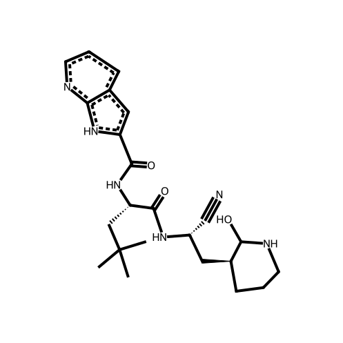 CC(C)(C)C[C@H](NC(=O)c1cc2cccnc2[nH]1)C(=O)N[C@H](C#N)C[C@@H]1CCCNC1O